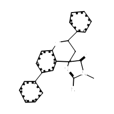 CN1C(=O)C2(CC(c3ccccc3)Oc3ccc(-c4ccccc4)cc32)N=C1N